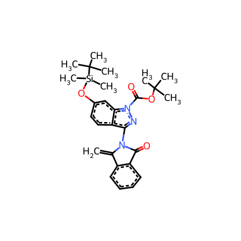 C=C1c2ccccc2C(=O)N1c1nn(C(=O)OC(C)(C)C)c2cc(O[Si](C)(C)C(C)(C)C)ccc12